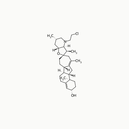 CC1=C2C[C@H]3[C@@H](CCC4=C[C@@H](O)CC[C@@]43C)[C@@H]2CC[C@@]2(C1)O[C@@H]1C[C@H](C)CN(CCCl)[C@H]1[C@H]2C